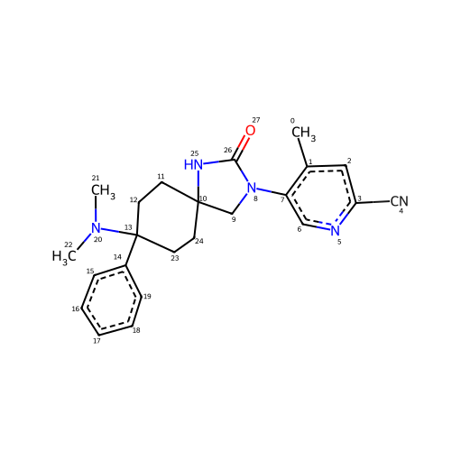 Cc1cc(C#N)ncc1N1CC2(CCC(c3ccccc3)(N(C)C)CC2)NC1=O